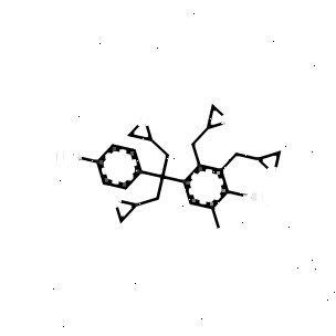 Cc1cc(C(CC2CO2)(CC2CO2)c2ccc(N)cc2)c(CC2CO2)c(CC2CO2)c1N